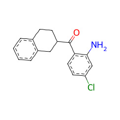 Nc1cc(Cl)ccc1C(=O)C1CCc2ccccc2C1